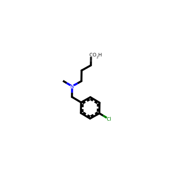 CN(CCCC(=O)O)Cc1ccc(Cl)cc1